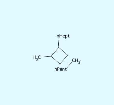 CCCCCCCC1CCC1C.[CH2]CCCCC